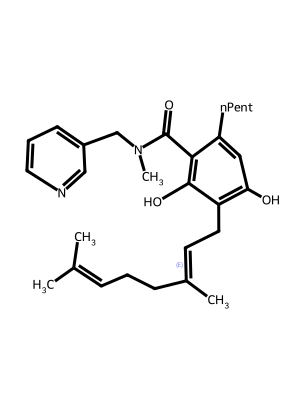 CCCCCc1cc(O)c(C/C=C(\C)CCC=C(C)C)c(O)c1C(=O)N(C)Cc1cccnc1